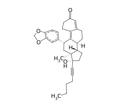 CCCCC#C[C@]1(O)CC[C@H]2[C@@H]3CCC4=CC(=O)CCC4=C3[C@@H](c3ccc4c(c3)OCO4)C[C@@]21C